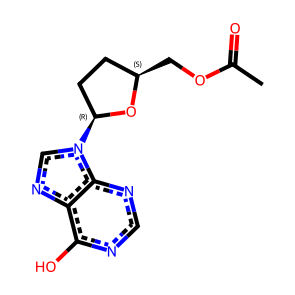 CC(=O)OC[C@@H]1CC[C@H](n2cnc3c(O)ncnc32)O1